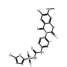 CNc1cc2c(cc1Cl)C(=O)N(c1ccc(NC(=O)NS(=O)(=O)c3ccc(Cl)s3)cc1)C(=O)C2